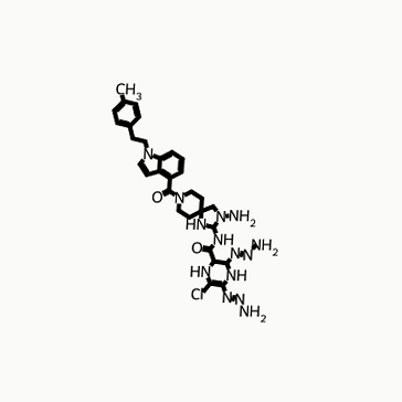 Cc1ccc(CCn2ccc3c(C(=O)N4CCC5(CC4)CN(N)C(NC(=O)C4NC(Cl)=C(N=NN)NC4N=NN)N5)cccc32)cc1